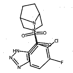 O=C(c1cnn[nH]1)N1CC2CCC(C1)N2S(=O)(=O)c1cccc(F)c1Cl